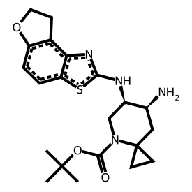 CC(C)(C)OC(=O)N1C[C@@H](Nc2nc3c4c(ccc3s2)OCC4)[C@@H](N)CC12CC2